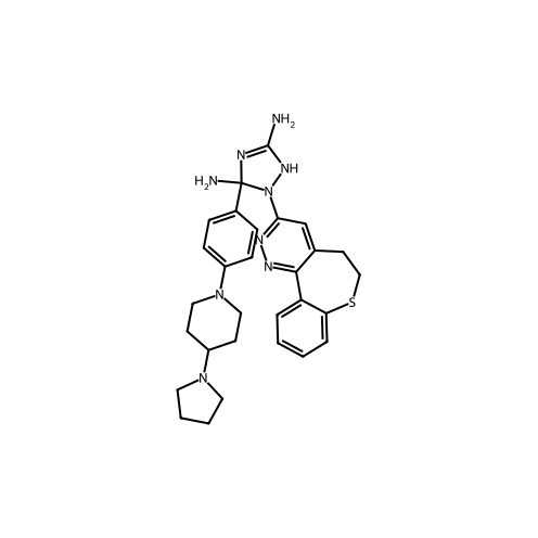 NC1=NC(N)(c2ccc(N3CCC(N4CCCC4)CC3)cc2)N(c2cc3c(nn2)-c2ccccc2SCC3)N1